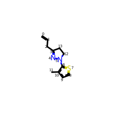 C=CCC1=NN(c2sccc2C)CC1